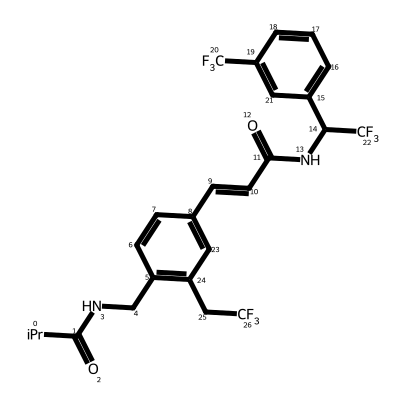 CC(C)C(=O)NCc1ccc(C=CC(=O)NC(c2cccc(C(F)(F)F)c2)C(F)(F)F)cc1CC(F)(F)F